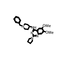 COc1cc2nc(N3CCCC3)nc(NC3CCN(Cc4ccccc4)CC3)c2cc1OC